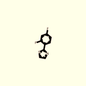 Fc1ccc(-c2n[c]cs2)c(F)c1